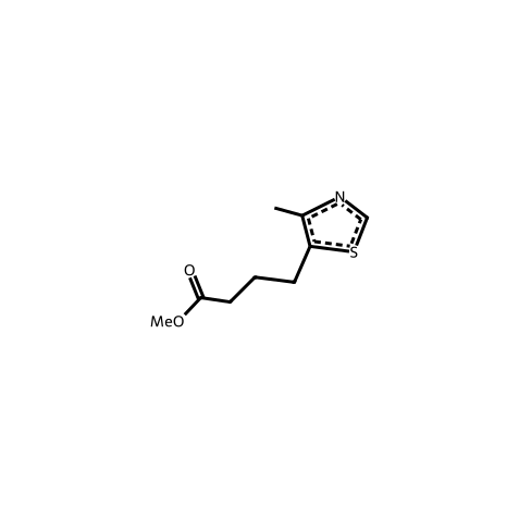 COC(=O)CCCc1scnc1C